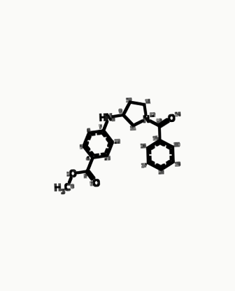 COC(=O)c1ccc(NC2CCN(C(=O)c3ccccc3)C2)cc1